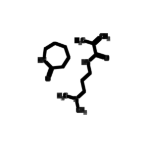 C=C(C)C(=O)NCCCN(C)C.O=C1CCCCCN1